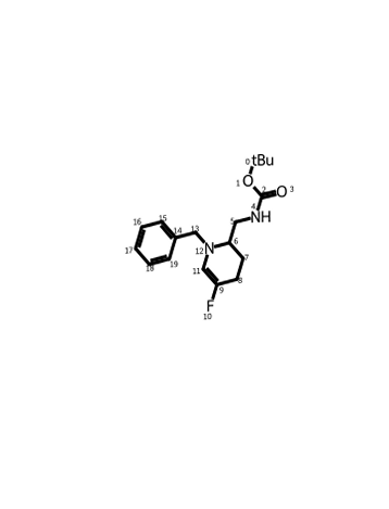 CC(C)(C)OC(=O)NCC1CCC(F)=CN1Cc1ccccc1